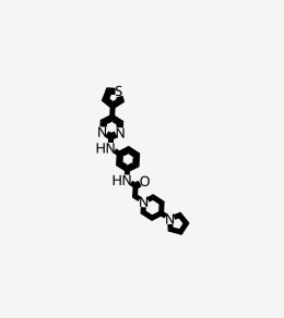 O=C(CN1CCC(N2CCCC2)CC1)Nc1cccc(Nc2ncc(-c3ccsc3)cn2)c1